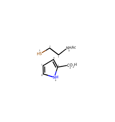 CC(=O)NCCS.O=C(O)c1ccc[nH]1